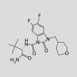 CC(C)(C)[C@H](NC(=O)n1c(=O)n(CC2CCOCC2)c2cc(F)c(F)cc21)C(N)=O